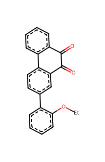 CCOc1ccccc1-c1ccc2c(c1)C(=O)C(=O)c1ccccc1-2